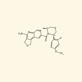 C[C@H]1COC[C@@H](c2ccc(OC(F)(F)F)cc2F)N1C(=O)c1cc2c3c(c(N)nc2cn1)COC3